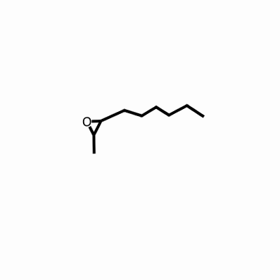 CCCCCCC1OC1C